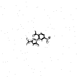 CC(=O)c1ccc([N+](=O)[O-])cc1-n1nc(C(F)F)cc1C